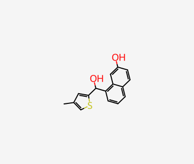 Cc1csc(C(O)c2cccc3ccc(O)cc23)c1